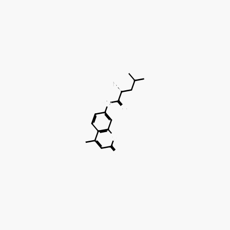 Cc1cc(=O)oc2cc(NC(=O)[C@@H](N)CC(C)C)ccc12